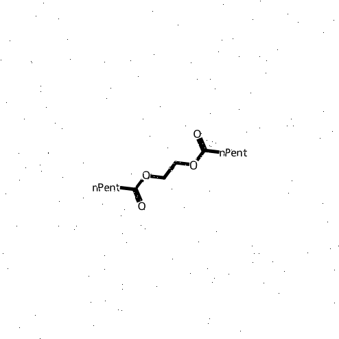 CCCCCC(=O)OCCOC(=O)CCCCC